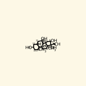 C#C[C@]1(O)[C@H](O)C[C@H]2[C@@H]3[C@@H](O)CC4C[C@@H](O)CC[C@]4(C)[C@H]3CC[C@@]21C